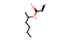 [CH2]CCCC(C)OC(=O)C=C